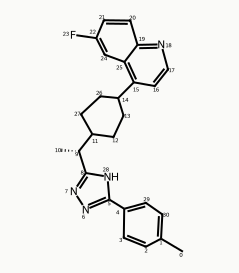 Cc1ccc(-c2nnc([C@H](C)C3CCC(c4ccnc5ccc(F)cc45)CC3)[nH]2)cc1